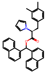 Cc1ccc(C[C@@H](C(=O)OC(c2cccc3ccccc23)c2cccc3ccccc23)n2cccc2)cc1C